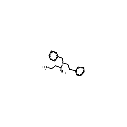 NCCC(N)N(CCc1ccccc1)Cc1ccccc1